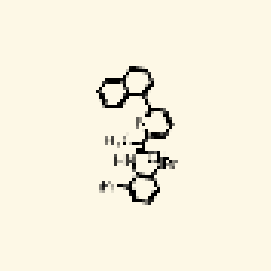 CC(C)c1cccc(C(C)C)c1N[Si](C)(C)c1cccc(-c2cccc3ccccc23)n1